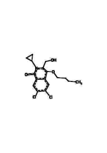 CCCCOc1c(CO)n(C2CC2)c(=O)c2cc(Cl)c(Cl)cc12